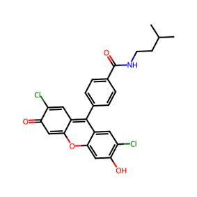 CC(C)CCNC(=O)c1ccc(-c2c3cc(Cl)c(=O)cc-3oc3cc(O)c(Cl)cc23)cc1